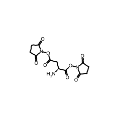 N[C@@H](CC(=O)ON1C(=O)CCC1=O)C(=O)ON1C(=O)CCC1=O